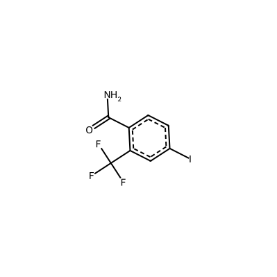 NC(=O)c1ccc(I)cc1C(F)(F)F